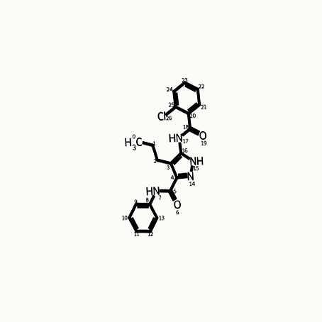 CCCc1c(C(=O)Nc2ccccc2)n[nH]c1NC(=O)c1ccccc1Cl